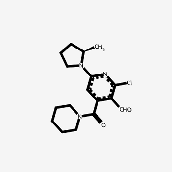 C[C@@H]1CCCN1c1cc(C(=O)N2CCCCC2)c(C=O)c(Cl)n1